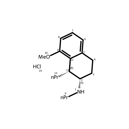 CCCN[C@H]1CCc2cccc(OC)c2[C@H]1CCC.Cl